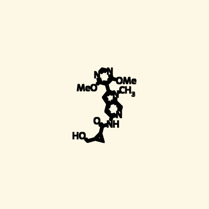 COc1ncnc(OC)c1-c1cc2cc(NC(=O)C3CC3CO)ncc2n1C